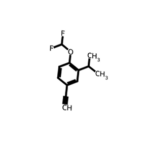 C#Cc1ccc(OC(F)F)c(C(C)C)c1